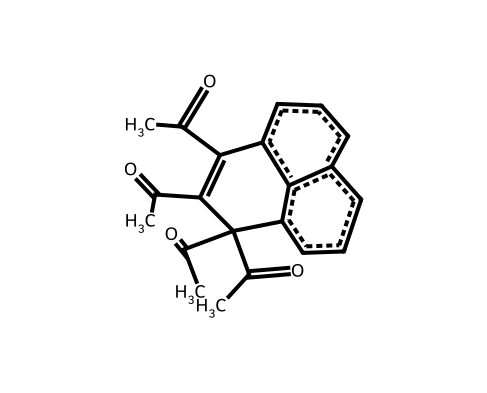 CC(=O)C1=C(C(C)=O)C(C(C)=O)(C(C)=O)c2cccc3cccc1c23